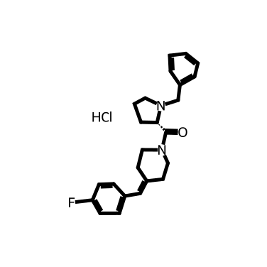 Cl.O=C([C@@H]1CCCN1Cc1ccccc1)N1CCC(=Cc2ccc(F)cc2)CC1